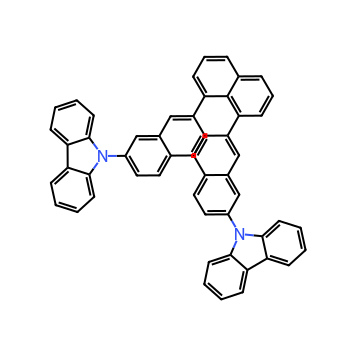 c1cc(-c2ccc3ccc(-n4c5ccccc5c5ccccc54)cc3c2)c2c(-c3ccc4ccc(-n5c6ccccc6c6ccccc65)cc4c3)cccc2c1